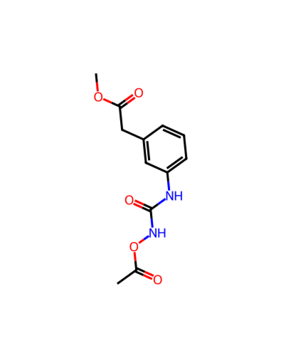 COC(=O)Cc1cccc(NC(=O)NOC(C)=O)c1